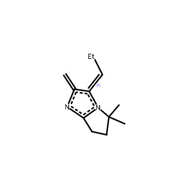 C=c1nc2n(/c1=C/CC)C(C)(C)CC2